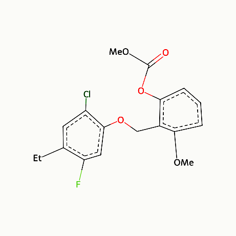 CCc1cc(Cl)c(OCc2c(OC)cccc2OC(=O)OC)cc1F